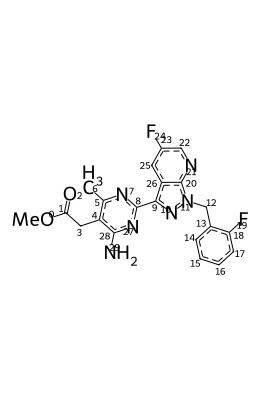 COC(=O)Cc1c(C)nc(-c2nn(Cc3ccccc3F)c3ncc(F)cc23)nc1N